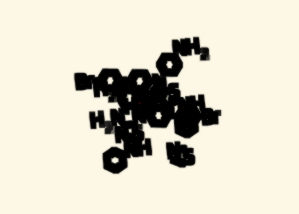 Nc1ccc(N(c2ccc(-c3ccc(Br)cc3)cc2S(=O)(=O)c2cc(-c3ccc(Br)cc3)ccc2N(c2ccc(N)cc2)c2sc(Nc3ccccc3)nc2N)c2sc(Nc3ccccc3)nc2N)cc1.c1cscn1